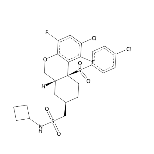 O=S(=O)(C[C@@H]1CC[C@@]2(S(=O)(=O)c3ccc(Cl)cc3)c3c(F)c(Cl)cc(F)c3OC[C@H]2C1)NC1CCC1